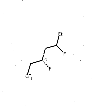 [CH2]CC(F)C[C@H](F)CC(F)(F)F